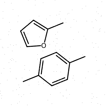 Cc1ccc(C)cc1.Cc1ccco1